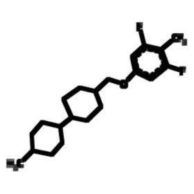 CC1CCC(C2CCC(COc3cc(F)c(C(F)(F)F)c(F)c3)CC2)CC1